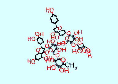 C[C@@H]1O[C@@H](OC[C@H]2O[C@@H](Oc3c(-c4ccc(O)c(O)c4)oc4cc(O)cc(O)c4c3=O)[C@H](O)[C@@H](O)[C@@H]2O)[C@H](O)[C@H](O)[C@H]1O.O=c1cc(-c2ccc(O)cc2)oc2cc(O[C@@H]3O[C@H](CO)[C@@H](OC4OC[C@](O)(CO)[C@H]4O)[C@H](O)[C@H]3O)cc(O)c12